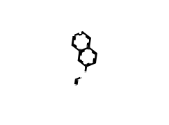 S=COc1ccc2ccccc2c1